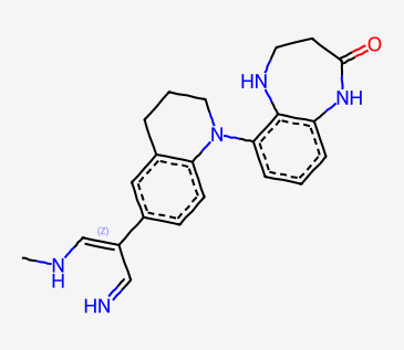 CN/C=C(\C=N)c1ccc2c(c1)CCCN2c1cccc2c1NCCC(=O)N2